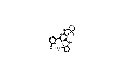 CC1(F)CCCC1Nc1nc(NC2CCCC2(F)F)nc(-c2cccc(Cl)n2)n1